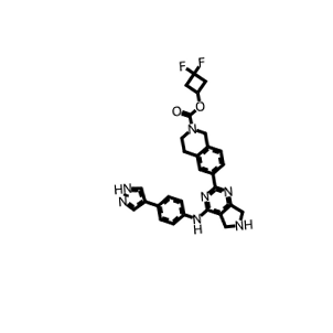 O=C(OC1CC(F)(F)C1)N1CCc2cc(-c3nc4c(c(Nc5ccc(-c6cn[nH]c6)cc5)n3)CNC4)ccc2C1